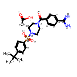 CC(=O)O.CC(C)(C)c1ccc(S(=O)(=O)N2CCN(C(=O)c3ccc(C(=N)N)cc3)CC2)cc1